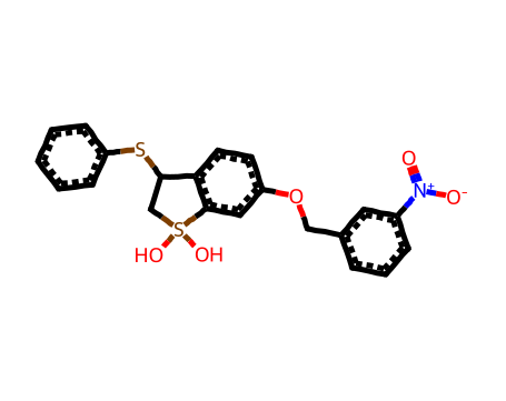 O=[N+]([O-])c1cccc(COc2ccc3c(c2)S(O)(O)CC3Sc2ccccc2)c1